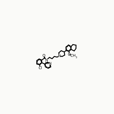 COc1c(C2CCN(CCCCNC(=O)c3cccc(Cl)c3-c3cccnc3)CC2)ccc2c1CCCC2